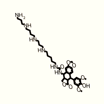 COc1cc(C2c3cc4c(cc3C(NC(=O)NCCCCCNCCCNCCCCNCCCN)C3COC(=O)C23)OCO4)cc(OC)c1O